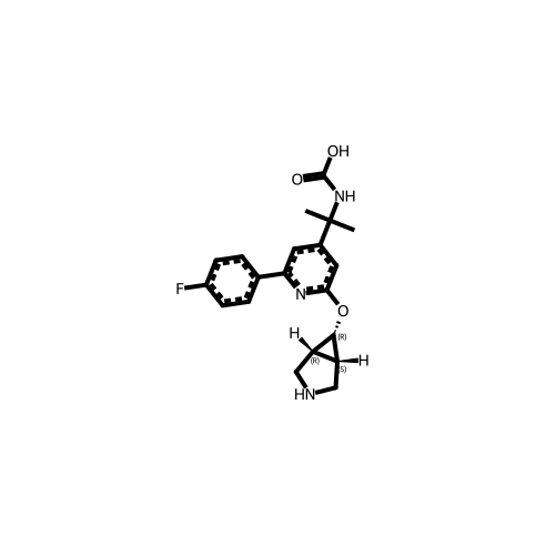 CC(C)(NC(=O)O)c1cc(O[C@@H]2[C@@H]3CNC[C@@H]32)nc(-c2ccc(F)cc2)c1